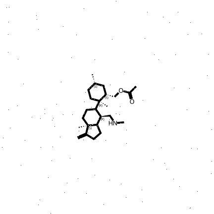 C=C1CCC2[C@H](CNC)C([C@@]3(C)CC[C@H](C)C[C@@H]3COC(C)=O)CC[C@]12C